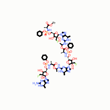 C=C1NC(N)=Nc2c1ncn2[C@@H]1O[C@H](CO[P@](=O)(N[C@@H](C)C(=O)OC(C)NC2=Nc3c(ncn3[C@@H]3O[C@H](CO[P@@](=O)(N[C@@H](C)C(=O)OC(C)NC4=Nc5c(ncn5[C@@H]5O[C@H](COP(=O)(N[C@@H](C)C(=O)OC(C)C)Oc6ccccc6)C(O)[C@]5(O)CF)C(=C)N4)Oc4ccccc4)C(O)[C@]3(O)CF)C(=C)N2)Oc2ccccc2)C(O)[C@]1(O)CF